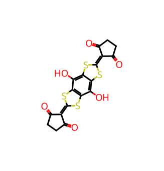 O=C1CCC(=O)C1=C1Sc2c(O)c3c(c(O)c2S1)SC(=C1C(=O)CCC1=O)S3